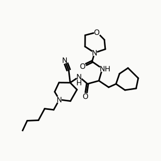 CCCCCN1CCC(C#N)(NC(=O)C(CC2CCCCC2)NC(=O)N2CCOCC2)CC1